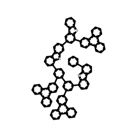 c1ccc(-c2cccc3c2sc2c(-c4cc(-c5ccc6c7ccccc7c7ccccc7c6c5)cc(-c5ccc(-c6cccc7c6sc6cc(-c8cc(-c9ccc%10c%11ccccc%11c%11ccccc%11c%10c9)c9sc%10ccccc%10c9c8)ccc67)cc5-c5ccc6c7ccccc7c7ccccc7c6c5)c4)cccc23)cc1